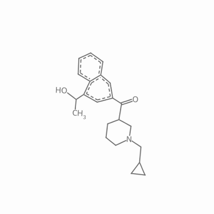 CC(O)c1cc(C(=O)C2CCCN(CC3CC3)C2)cc2ccccc12